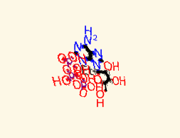 CC[C@@]1(n2cnc3c(N)ncnc32)O[C@H](CO)[C@@H](O)[C@H]1O.O=P(O)(O)OP(=O)(O)OP(=O)(O)O